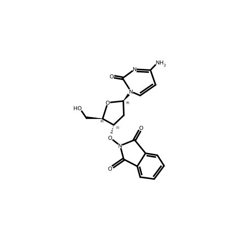 Nc1ccn([C@H]2C[C@H](ON3C(=O)c4ccccc4C3=O)[C@@H](CO)O2)c(=O)n1